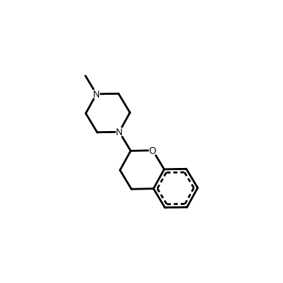 CN1CCN(C2CCc3ccccc3O2)CC1